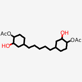 CC(=O)OC1CCC(CCCCCC2CCC(OC(C)=O)C(O)C2)CC1O